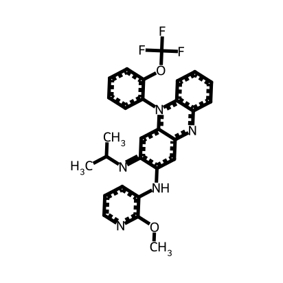 COc1ncccc1Nc1cc2nc3ccccc3n(-c3ccccc3OC(F)(F)F)c-2cc1=NC(C)C